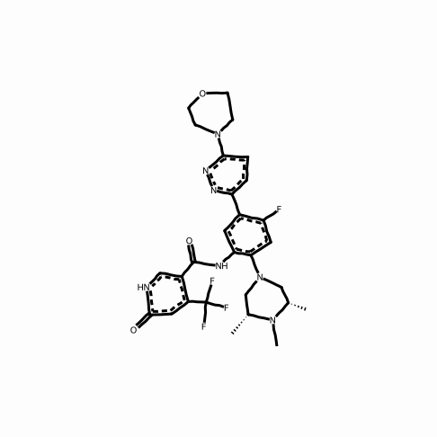 C[C@@H]1CN(c2cc(F)c(-c3ccc(N4CCOCC4)nn3)cc2NC(=O)c2c[nH]c(=O)cc2C(F)(F)F)C[C@H](C)N1C